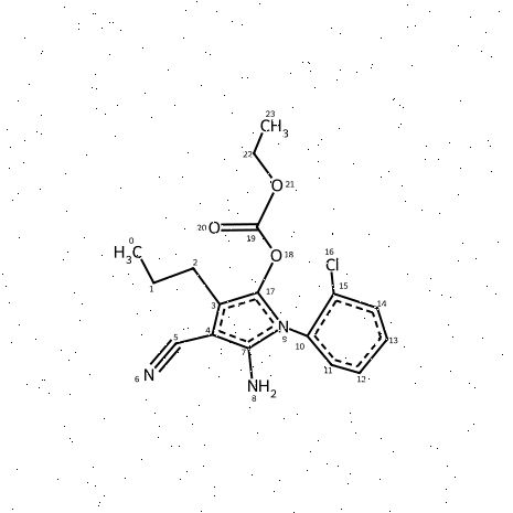 CCCc1c(C#N)c(N)n(-c2ccccc2Cl)c1OC(=O)OCC